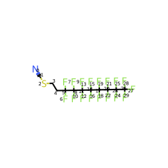 N#CSCCC(F)(F)C(F)(F)C(F)(F)C(F)(F)C(F)(F)C(F)(F)C(F)(F)C(F)(F)F